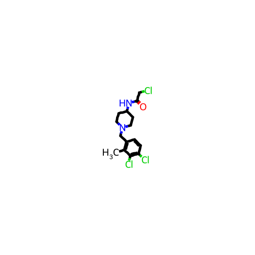 Cc1c(CN2CCC(NC(=O)CCl)CC2)ccc(Cl)c1Cl